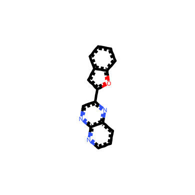 c1ccc2oc(-c3cnc4ncccc4n3)cc2c1